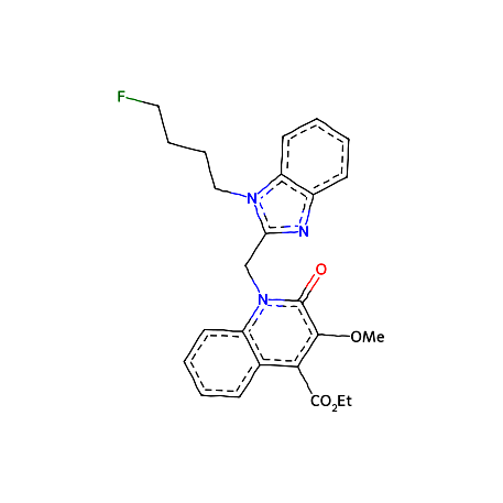 CCOC(=O)c1c(OC)c(=O)n(Cc2nc3ccccc3n2CCCCF)c2ccccc12